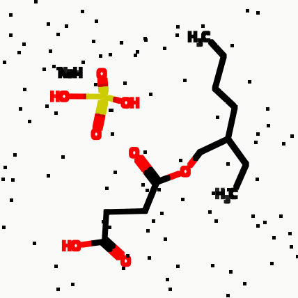 CCCCC(CC)COC(=O)CCC(=O)O.O=S(=O)(O)O.[NaH]